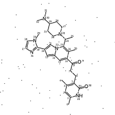 Cc1cc(C)c(CCC(=O)c2cc3cc(-c4nccn4C)cn3c(C(C)N3CCC(N(C)C)CC3)c2C)c(=O)[nH]1